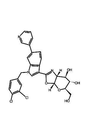 OC[C@H]1O[C@@H]2OC(c3cn(Cc4ccc(Cl)c(Cl)c4)c4cc(-c5cccnc5)ccc34)=N[C@@H]2[C@@H](O)[C@@H]1O